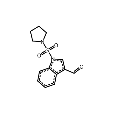 O=Cc1cn(S(=O)(=O)N2CCCC2)c2ccccc12